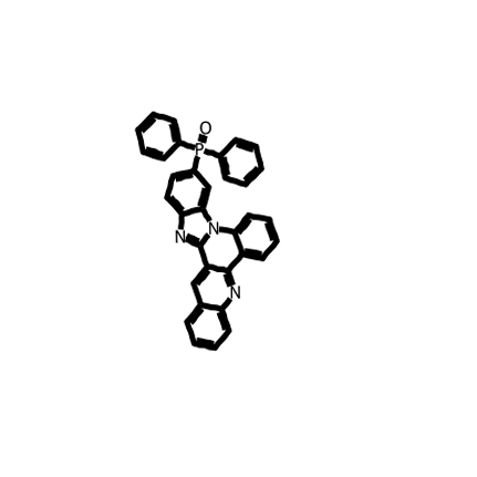 O=P(c1ccccc1)(c1ccccc1)c1ccc2nc3c4cc5ccccc5nc4c4ccccc4n3c2c1